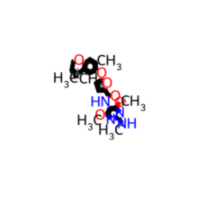 CNc1nc(OC)c(NC(=O)c2ccc(Oc3cc4c(cc3C)OCC[Si]4(C)C)o2)c(OC)n1